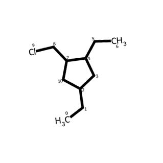 CCC1CC(CC)C(CCl)C1